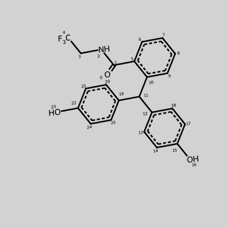 O=C(NCC(F)(F)F)c1ccccc1C(c1ccc(O)cc1)c1ccc(O)cc1